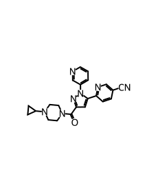 N#Cc1ccc(-c2cc(C(=O)N3CCN(C4CC4)CC3)nn2-c2cccnc2)nc1